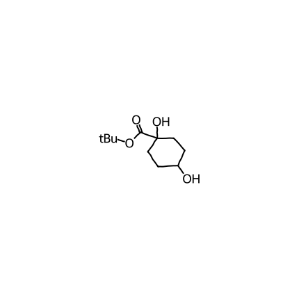 CC(C)(C)OC(=O)C1(O)CCC(O)CC1